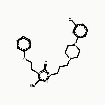 CC(C)(C)c1nn(CCCN2CCN(c3cccc(Cl)c3)CC2)c(=O)n1CCOc1ccccc1